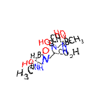 BC(=O)N(CCNB(C)O)CC(CC(=O)O)CN(CCNB(C)O)B(C)O